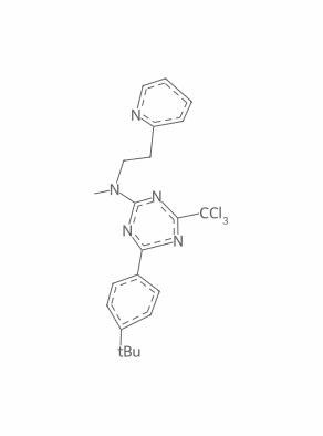 CN(CCc1ccccn1)c1nc(-c2ccc(C(C)(C)C)cc2)nc(C(Cl)(Cl)Cl)n1